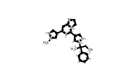 Cn1cc(-c2cc3nccn3c(-c3cnn(C(C)(CC#N)c4ccccc4)c3)n2)cn1